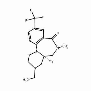 CCN1CCN2c3ncc(C(F)(F)F)cc3C(=O)N(C)C[C@H]2C1